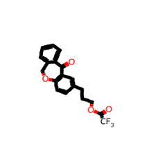 O=C1c2ccccc2COc2ccc(CCCOC(=O)C(F)(F)F)cc21